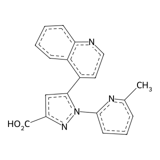 Cc1cccc(-n2nc(C(=O)O)cc2-c2ccnc3ccccc23)n1